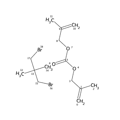 C=C(C)COC(=O)OCC(=C)C.CC(C)(CBr)CBr